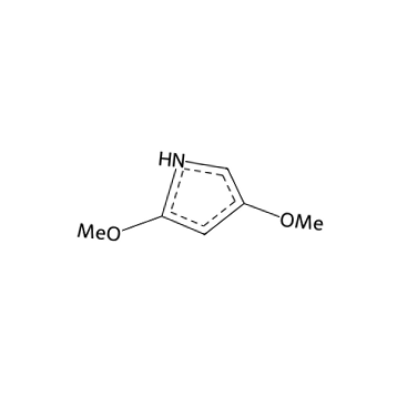 COc1c[nH]c(OC)c1